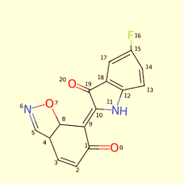 O=C1C=CC2C=NOC2C1=C1Nc2ccc(F)cc2C1=O